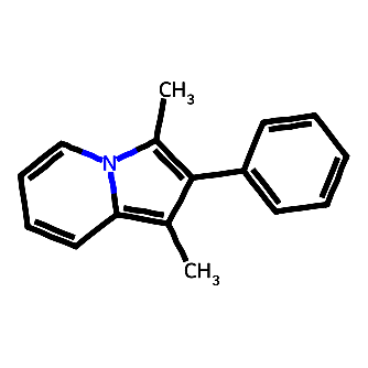 Cc1c(-c2ccccc2)c(C)n2ccccc12